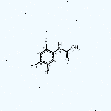 CC(=O)Nc1cc(F)c(Br)cc1F